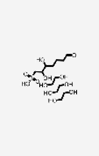 O=CCCCC(O)C(O)CS(=O)(=O)O.OCCO.OCCO.OCCO